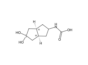 O=C(O)NC1C[C@@H]2CS(O)(O)C[C@@H]2C1